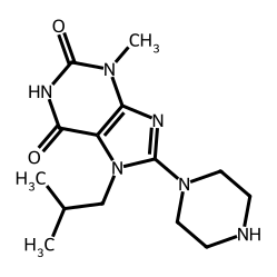 CC(C)Cn1c(N2CCNCC2)nc2c1c(=O)[nH]c(=O)n2C